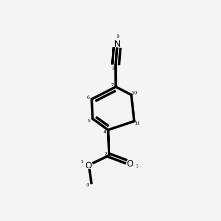 COC(=O)C1=CC=C(C#N)CC1